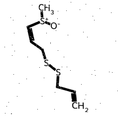 C=CCSSC/C=C\[S+](C)[O-]